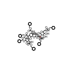 O=C(NCC1OC(OC2C(CO)OC(OC3C(O)C(NC(=O)OCc4ccccc4)CC(NC(=O)OCc4ccccc4)C3OC3OC4COC(c5ccccc5)OC4C(O)C3NC(=O)OCc3ccccc3)C2O)C(NC(=O)OCc2ccccc2)C(O)C1O)OCc1ccccc1